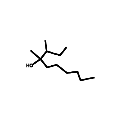 CCCCCCC(C)(O)C(C)CC